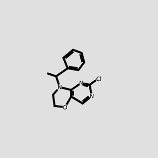 CC(c1ccccc1)N1CCOc2cnc(Cl)nc21